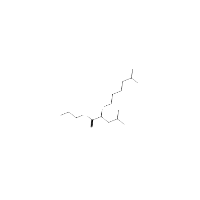 CCCOC(=O)C(CC(C)C)SCCCCC(C)F